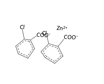 O=C([O-])c1ccccc1Cl.O=C([O-])c1ccccc1Cl.[Zn+2]